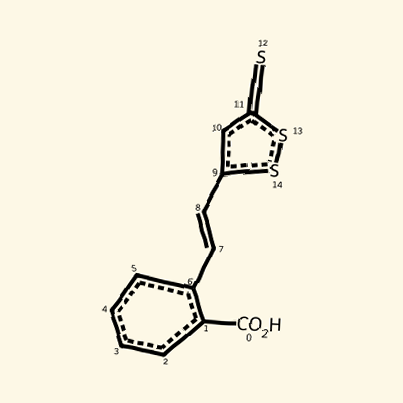 O=C(O)c1ccccc1/C=C/c1cc(=S)ss1